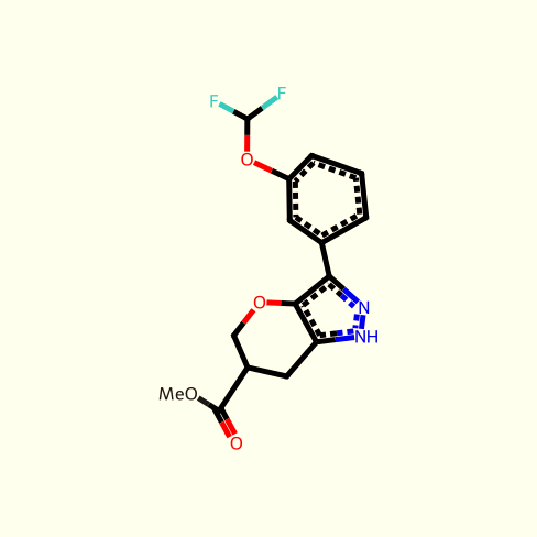 COC(=O)C1COc2c(-c3cccc(OC(F)F)c3)n[nH]c2C1